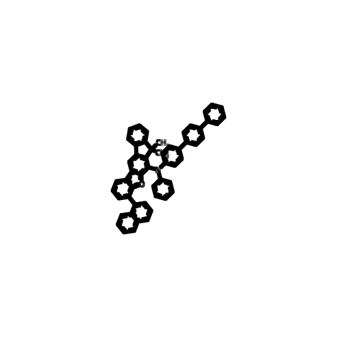 CC1(C)c2ccccc2-c2cc3c(oc4c(-c5cccc6ccccc56)cccc43)c(N(c3ccccc3)c3ccc(-c4ccc(-c5ccccc5)cc4)cc3)c21